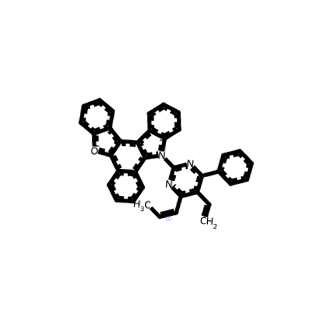 C=Cc1c(/C=C\C)nc(-n2c3ccccc3c3c4c5ccccc5oc4c4ccccc4c32)nc1-c1ccccc1